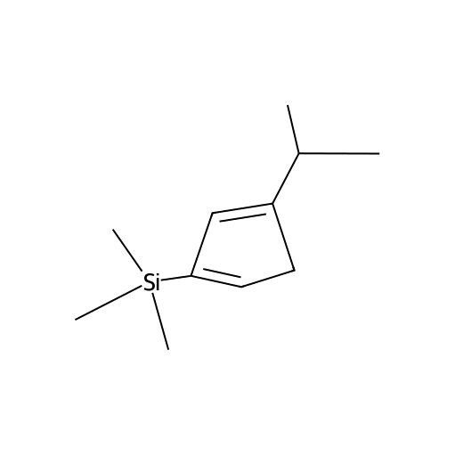 CC(C)C1=CC([Si](C)(C)C)=CC1